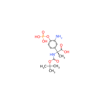 CC(C)(C)OC(=O)N[C@@](C)(C(=O)O)c1ccc(OP(=O)(O)O)c(N)c1